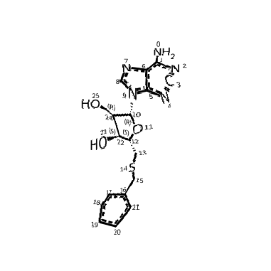 Nc1ncnc2c1ncn2[C@@H]1O[C@H](CSCc2ccccc2)[C@@H](O)[C@H]1O